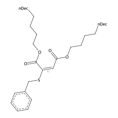 CCCCCCCCCCCCCCOC(=O)/C=C(/SCc1ccccc1)C(=O)OCCCCCCCCCCCCCC